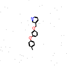 Cc1ccc(Oc2cccc(OCc3cccnc3)c2)cc1